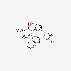 COC(=O)C(OC(C)(C)C)c1c(C(F)(F)F)ccc(-c2ccc(=O)n(C)c2)c1-c1ccc2c(c1)CCCO2